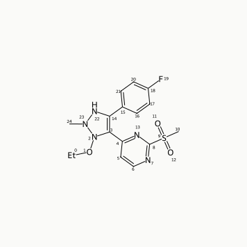 CCON1C(c2ccnc(S(C)(=O)=O)n2)=C(c2ccc(F)cc2)NN1C